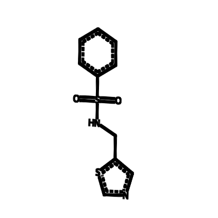 O=S(=O)(NCc1cncs1)c1ccccc1